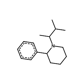 CC(C)C(C)N1CCCCC1c1ccccc1